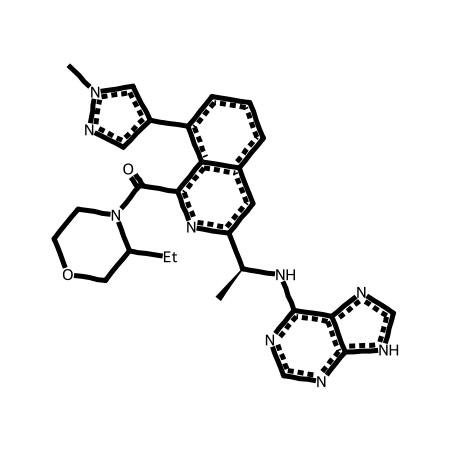 CCC1COCCN1C(=O)c1nc([C@H](C)Nc2ncnc3[nH]cnc23)cc2cccc(-c3cnn(C)c3)c12